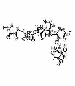 CO[C@@H]1CO[C@H]2[C@@H]1OC[C@H]2Oc1cc(F)ccc1Nc1ncnn2cc(C(=O)N=S3(=O)CCN(C(=O)C(F)F)CC3)c(C)c12